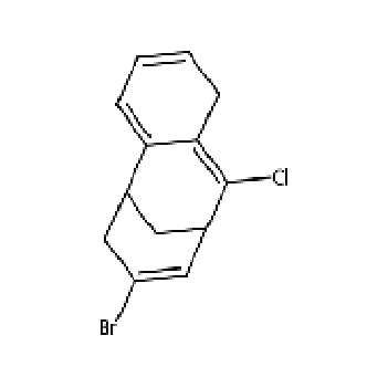 ClC1=C2CC=CC=C2C2CC(Br)=CC1C2